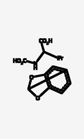 CC(C)C(NC(=O)O)C(=O)O.c1cc2c3cc1C(O2)O3